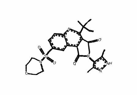 Cc1n[nH]c(C)c1N1C(=O)c2c(C(C)(C)C)nc3ccc(S(=O)(=O)N4CCOCC4)cc3c2C1=O